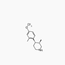 Cc1cc(OC(F)(F)F)ccc1[C@@H]1CCNC[C@@H]1C